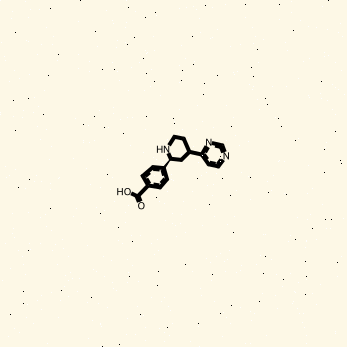 O=C(O)c1ccc([C@@H]2CC(c3ccncn3)CCN2)cc1